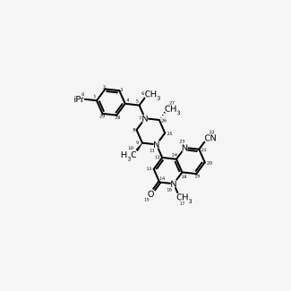 CC(C)c1ccc(C(C)N2C[C@H](C)N(c3cc(=O)n(C)c4ccc(C#N)nc34)C[C@H]2C)cc1